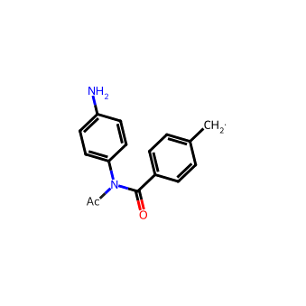 [CH2]c1ccc(C(=O)N(C(C)=O)c2ccc(N)cc2)cc1